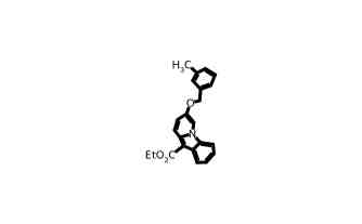 CCOC(=O)c1c2ccccc2n2cc(OCc3cccc(C)c3)ccc12